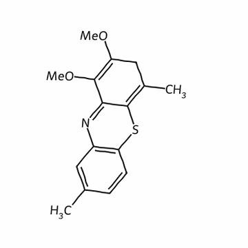 COC1=C(OC)C2=Nc3cc(C)ccc3SC2=C(C)C1